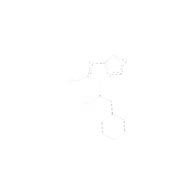 CCCC1=Nc2cncn2[SH]1C(O)CC1CCCCC1